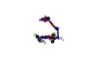 CN(CCCCCCCn1cc(COCCOCCOCCNc2cccc3c2C(=O)N(C2CCC(=O)NC2=O)C3=O)nn1)CC[C@H](CSc1ccccc1)Nc1ccc(S(=O)(=O)NC(=O)c2ccc(N3CCN(CC4=C(c5ccc(Cl)cc5)CCC(C)(C)C4)CC3)cc2)cc1S(=O)(=O)C(F)(F)F